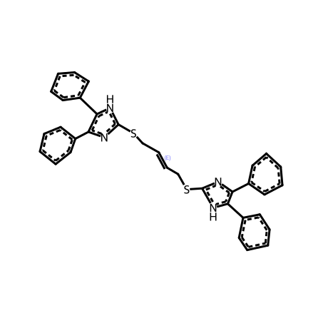 C(=C\CSc1nc(-c2ccccc2)c(-c2ccccc2)[nH]1)/CSc1nc(-c2ccccc2)c(-c2ccccc2)[nH]1